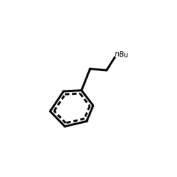 CC[CH]CCCc1ccccc1